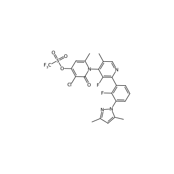 Cc1cc(C)n(-c2cccc(-c3ncc(C)c(-n4c(C)cc(OS(=O)(=O)C(F)(F)F)c(Cl)c4=O)c3F)c2F)n1